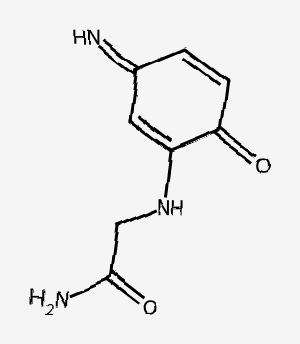 N=C1C=CC(=O)C(NCC(N)=O)=C1